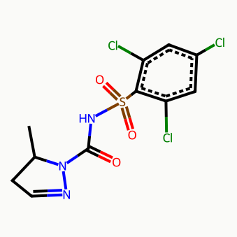 CC1CC=NN1C(=O)NS(=O)(=O)c1c(Cl)cc(Cl)cc1Cl